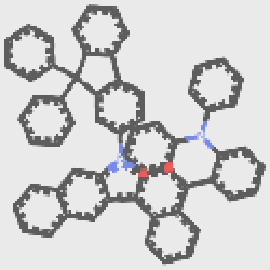 c1ccc(N(c2ccccc2)c2ccccc2-c2cc3c(c4ccccc24)c2cc4ccccc4cc2n3-c2ccc3c(c2)C(c2ccccc2)(c2ccccc2)c2ccccc2-3)cc1